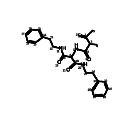 CC(=S)C(C)C(=O)NC(C(=O)NCCc1ccccc1)C(=O)NCCc1ccccc1